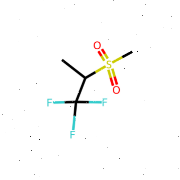 CC(C(F)(F)F)S(C)(=O)=O